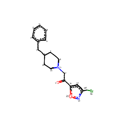 O=C(CN1CCC(Cc2ccccc2)CC1)c1cc(Br)no1